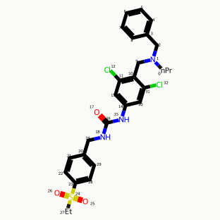 CCCN(Cc1ccccc1)Cc1c(Cl)cc(NC(=O)NCc2ccc(S(=O)(=O)CC)cc2)cc1Cl